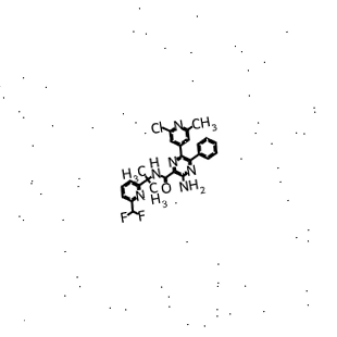 Cc1cc(-c2nc(C(=O)NC(C)(C)c3cccc(C(F)F)n3)c(N)nc2-c2ccccc2)cc(Cl)n1